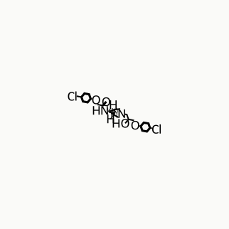 O=C(COc1ccc(Cl)cc1)N[C@H]1[C@@H]2CN(CC(O)COc3ccc(Cl)cc3)C[C@@H]21